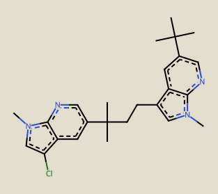 Cn1cc(Cl)c2cc(C(C)(C)CCc3cn(C)c4ncc(C(C)(C)C)cc34)cnc21